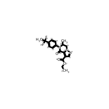 CCOC(=O)c1cnn2c1C(=O)N(c1ccc(C(C)(F)F)cc1)C(C)C2